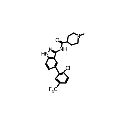 CN1CCC(C(=O)Nc2n[nH]c3ccc(-c4cc(C(F)(F)F)ccc4Cl)cc23)CC1